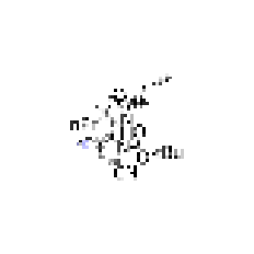 C#CCCC(=O)N[C@H]([C@H]1[C@H](/C=C\C)C[C@H](C#N)N1C(=O)OC(C)(C)C)[C@](C)(CCC)OC